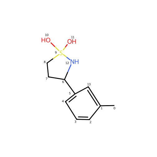 Cc1cccc(C2CCS(O)(O)N2)c1